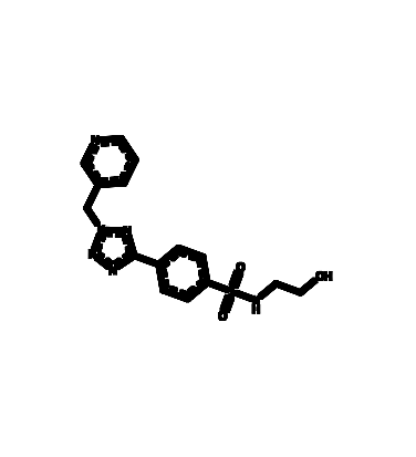 O=S(=O)(NCCO)c1ccc(-c2nnn(Cc3cccnc3)n2)cc1